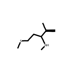 C=C(C)C(CCSC)NC